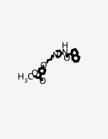 Cc1cc(=O)c2ccc(OCCCCN3CCC(NC(=O)c4cccc5ccccc45)CC3)cc2o1